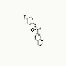 C=C(c1ccc2ccccc2c1)[S+]([O-])Cc1ccc(F)cc1